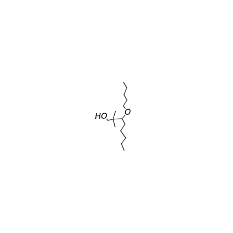 CCCCCOC(CCCCC)C(C)(C)CO